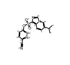 CC(C)c1ccc2c(S(=O)(=O)Oc3ccc(C#N)nn3)ncn2c1